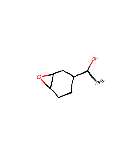 [CH2]CCC(O)C1CCC2OC2C1